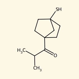 CC(C)C(=O)C12CCC(S)(CC1)C2